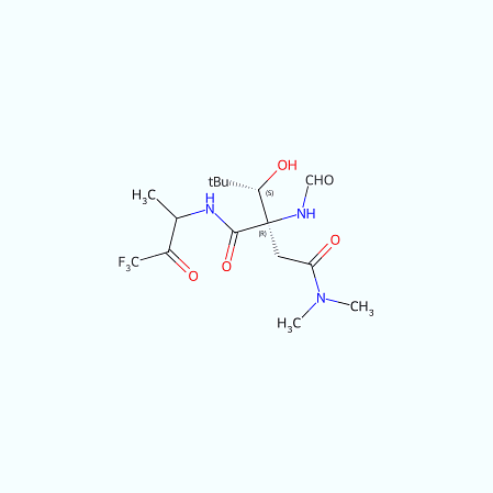 CC(NC(=O)[C@](CC(=O)N(C)C)(NC=O)[C@@H](O)C(C)(C)C)C(=O)C(F)(F)F